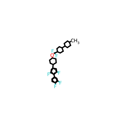 CC1CCC(C2CCC(C(F)(F)OC3CCC(c4cc(F)c(-c5ccc(F)c(F)c5)c(F)c4)CC3)CC2)CC1